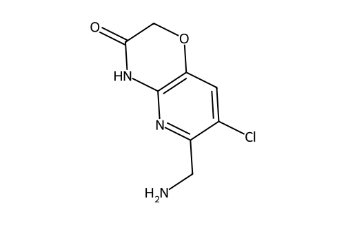 NCc1nc2c(cc1Cl)OCC(=O)N2